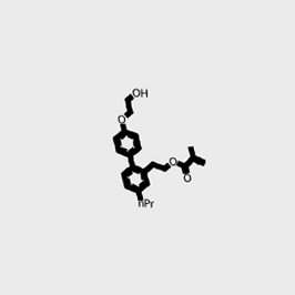 C=C(C)C(=O)OCCc1cc(CCC)ccc1-c1ccc(OCCO)cc1